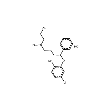 CCN(CCO)CCC[C@@H](Oc1cc(Cl)ccc1C#N)c1ccccc1.Cl